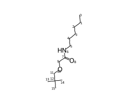 CCCCCCNC(=O)COCC(C)(C)C